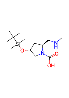 CNC[C@@H]1C[C@@H](O[Si](C)(C)C(C)(C)C)CN1C(=O)O